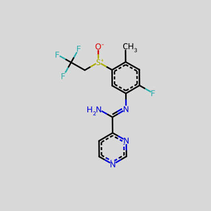 Cc1cc(F)c(/N=C(\N)c2ccncn2)cc1[S+]([O-])CC(F)(F)F